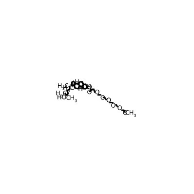 COCCOCCOCCOCCOCCOCCC(=O)O[C@H]1CC[C@@]2(C)C(=CC[C@H]3[C@@H]4CC[C@H](C(C)CCCC(C)(C)O)[C@@]4(C)CC[C@@H]32)C1